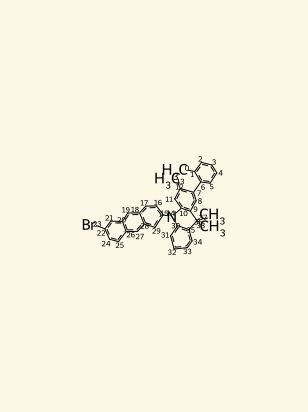 Cc1ccccc1-c1cc2c(cc1C)N(c1ccc3cc4cc(Br)ccc4cc3c1)c1ccccc1C2(C)C